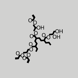 C=CC(=O)OCC(O)COC(=O)C(CCC(CC)C(=O)OCC(COC(=O)C=C)OC(=O)C=C)CCC(CCC)C(=O)OCC(O)CO